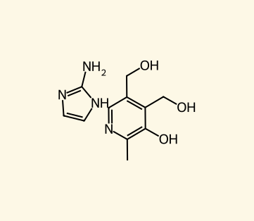 Cc1ncc(CO)c(CO)c1O.Nc1ncc[nH]1